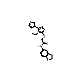 CCn1c(SCC(=O)Nc2ccc3c(c2)OCO3)nnc1-c1ccsc1